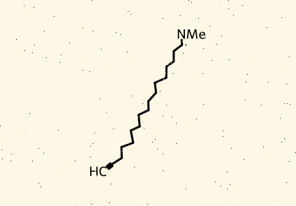 C#CCCCCCCCCCCCCCC[CH]NC